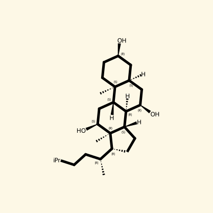 CC(C)CC[C@@H](C)[C@H]1CC[C@H]2[C@@H]3[C@H](O)C[C@@H]4C[C@H](O)CC[C@]4(C)[C@H]3C[C@H](O)[C@]12C